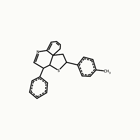 Cc1ccc(C2CC34CC=CC=C3N=CC(c3ccccc3)C4S2)cc1